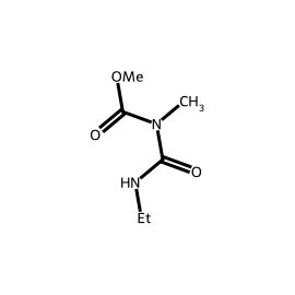 CCNC(=O)N(C)C(=O)OC